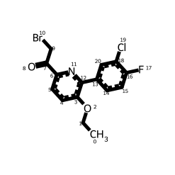 CCOc1ccc(C(=O)CBr)nc1-c1ccc(F)c(Cl)c1